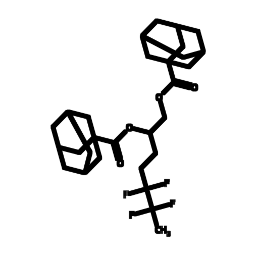 CC(F)(F)C(F)(F)CCC(COC(=O)C12CC3CC(CC(C3)C1)C2)OC(=O)C12CC3CC(CC(C3)C1)C2